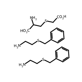 NC(CSCC(=O)O)C(=O)O.NCCSCc1ccccc1.NCCSCc1ccccc1